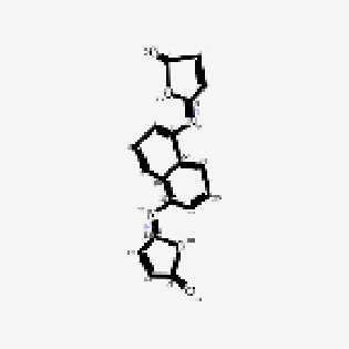 O=C1C=C/C(=N/c2cccc3c(/N=C4/C=CC(=O)O4)cccc23)O1